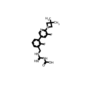 CC1(C)CN(c2ncc(-c3cccc(CNC(=N)NC(=O)O)c3F)cc2F)C1